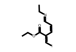 CC/N=C/C=C\C(=C/I)C(=O)OCC